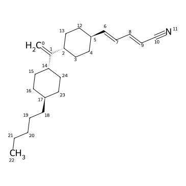 C=C([C@H]1CC[C@H](/C=C/C=C/C#N)CC1)[C@H]1CC[C@H](CCCCC)CC1